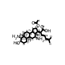 CC(=O)O[C@H]1C[C@]2(C)C3CC[C@H]4[C@H](N)[C@H](O)CC[C@]4(C)[C@@H]3C[C@H](N)[C@H]2/C1=C(\C=C\C=C(C)C)C(=O)O